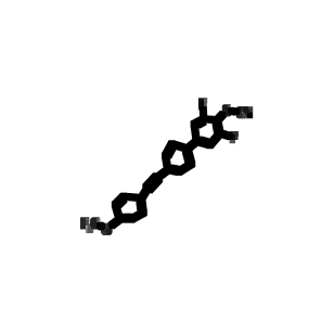 N#CSc1c(F)cc(-c2ccc(C#Cc3ccc(OC(F)(F)F)cc3)cc2)cc1F